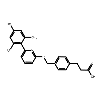 Cc1cc(O)cc(C)c1-c1cccc(OCc2ccc(CCC(=O)O)cc2)n1